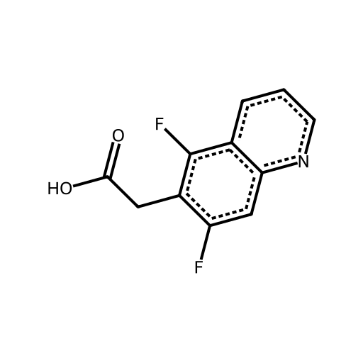 O=C(O)Cc1c(F)cc2ncccc2c1F